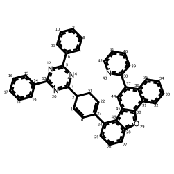 C1=CC(c2nc(-c3ccccc3)nc(-c3ccccc3)n2)CC=C1c1cccc2oc3c4ccccc4c(-c4ccccn4)cc3c12